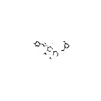 CO[C@H]1C[SH]([C@@H]2COC[C@H](n3cc(-c4cccc(C(F)F)c4)nn3)[C@H]2O)[C@H](COC(C)=O)[C@H](OC(C)=O)[C@H]1n1cc(-c2cc(F)c(F)c(F)c2)nn1